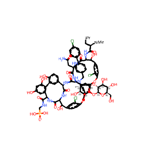 CNC(CC(C)C)C(=O)NC1C(=O)NC(CC(N)=O)C(=O)NC2C(=O)NC3C(=O)NC(C(=O)NC(C(=O)NCP(=O)(O)O)c4cc(O)cc(O)c4-c4cc3ccc4O)C(O)c3ccc(c(Cl)c3)Oc3cc2cc(c3O[C@@H]2O[C@H](CO)[C@@H](O)[C@H](O)[C@H]2O[C@H]2C[C@](C)(NCc3ccc(-c4ccc(Cl)cc4)cc3)[C@H](O)[C@H](C)O2)Oc2ccc(cc2Cl)C1O